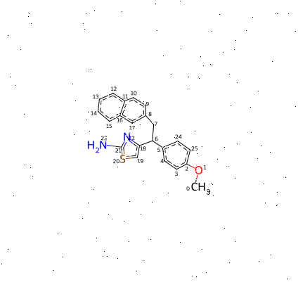 COc1ccc(C(Cc2ccc3ccccc3c2)c2csc(N)n2)cc1